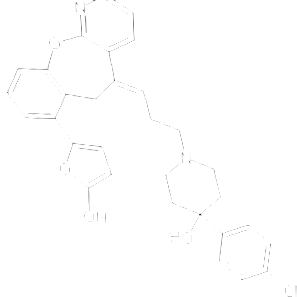 Oc1ccc(-c2cccc3c2CC(=CCCN2CCC(O)(c4ccc(Cl)cc4)CC2)c2cccnc2O3)o1